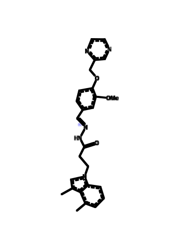 COc1cc(/C=N/NC(=O)CCn2cc(C)c3c(C)cccc32)ccc1OCc1cnccn1